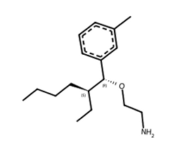 CCCC[C@H](CC)[C@@H](OCCN)c1cccc(C)c1